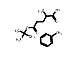 CC(C)(C)OC(=O)CCC(N)C(=O)O.Cc1ccccc1